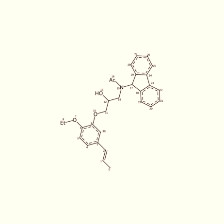 C/C=C/c1ccc(OCC)c(OCC(O)CN(C(C)=O)C2c3ccccc3-c3ccccc32)c1